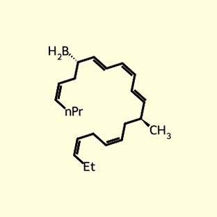 B[C@H](/C=C/C=C\C=C\[C@@H](C)C/C=C\C/C=C\CC)C/C=C\CCC